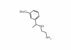 COc1cccc(C(C)NCCN)c1